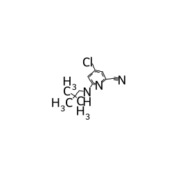 CC(C)(C)CNc1cc(Cl)cc(C#N)n1